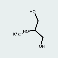 OCC(O)CO.[Cl-].[K+]